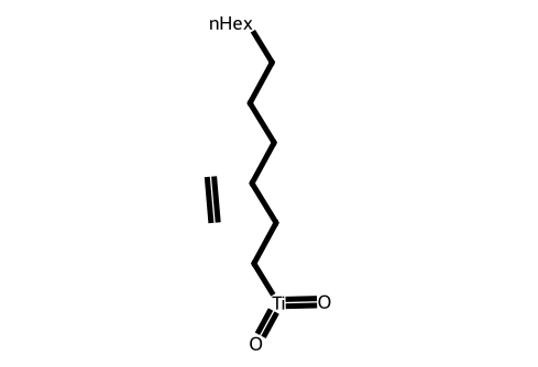 C=C.CCCCCCCCCCC[CH2][Ti](=[O])=[O]